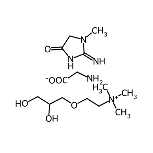 CN1CC(=O)NC1=N.C[N+](C)(C)CCOCC(O)CO.NCC(=O)[O-]